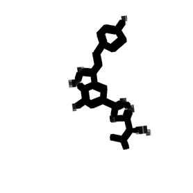 CC(C)[C@H](N)c1nnc(-c2cc(F)c3[nH]nc(C=Cc4ccc(F)cc4)c3c2)o1